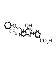 O=C(O)c1cnn(-c2nc(O)c3c(cnn3CCOc3ccccc3C(F)(F)F)n2)c1